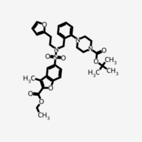 CCOC(=O)c1oc2ccc(S(=O)(=O)N(CCc3ccco3)Cc3ccccc3N3CCN(C(=O)OC(C)(C)C)CC3)cc2c1C